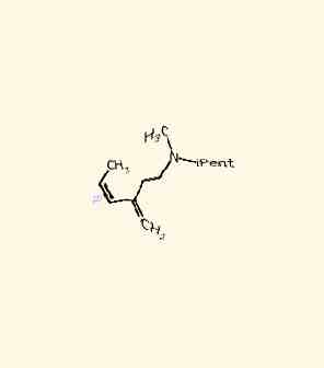 C=C(/C=C\C)CCN(C)C(C)CCC